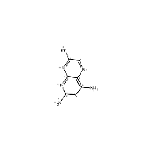 CC(C)c1cnc2c(N)cc(N)nc2n1